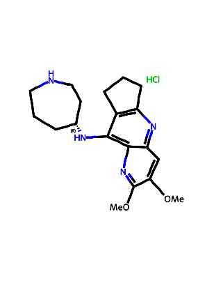 COc1cc2nc3c(c(N[C@@H]4CCCNCC4)c2nc1OC)CCC3.Cl